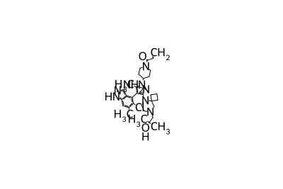 C=CC(=O)N1CCC(n2nc(N3CCN(CC(C)(C)O)CC34CCC4)c(-c3c(Cl)c(C)cc4[nH]nc(N)c34)c2C)CC1